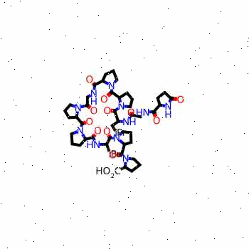 CCC(C)C(NC(=O)C1CCCN1C(=O)C1CCCN1C(=O)CNC(=O)C1CCCN1C(=O)C1CCCN1C(=O)C(CC(C)C)NC(=O)CNC(=O)C1CCC(=O)N1)C(=O)N1CCCC1C(=O)N1CCCC1C(=O)O